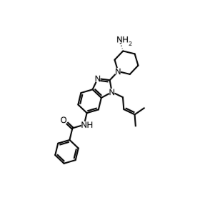 CC(C)=CCn1c(N2CCC[C@@H](N)C2)nc2ccc(NC(=O)c3ccccc3)cc21